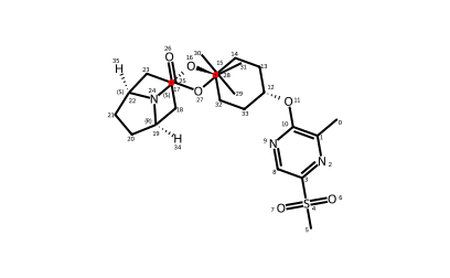 Cc1nc(S(C)(=O)=O)cnc1O[C@H]1CC[C@H](O[C@@H]2C[C@H]3CC[C@@H](C2)N3C(=O)OC(C)(C)C)CC1